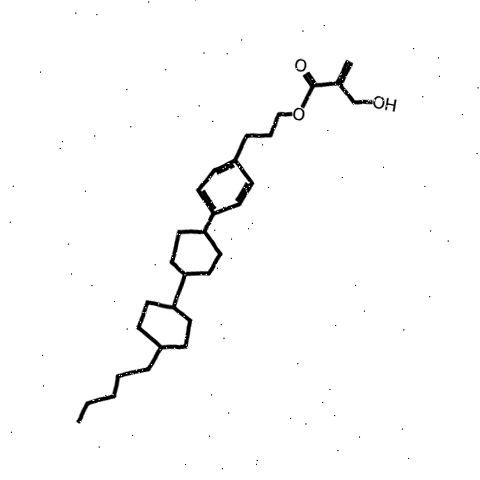 C=C(CO)C(=O)OCCCc1ccc(C2CCC(C3CCC(CCCCC)CC3)CC2)cc1